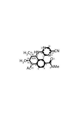 CNC(=O)c1ccc2c(c1)[C@H](Nc1cnc(C#N)cn1)[C@@H](C)[C@H](C)N2C(C)=O